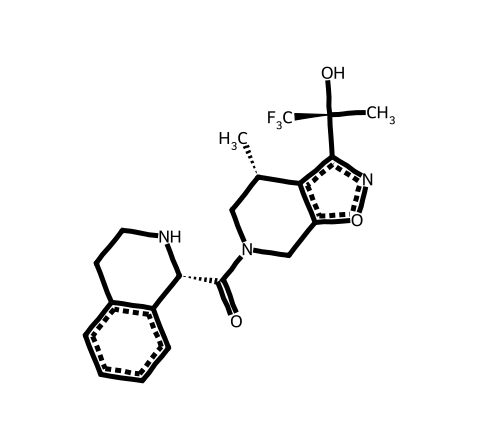 C[C@H]1CN(C(=O)[C@H]2NCCc3ccccc32)Cc2onc([C@@](C)(O)C(F)(F)F)c21